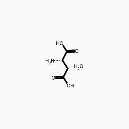 N[C@@H](CC(=O)O)C(=O)O.O